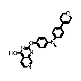 CN(c1ccc(Oc2nc(O)c3ccncc3n2)cc1)c1ccc(C2=CCOCC2)cc1